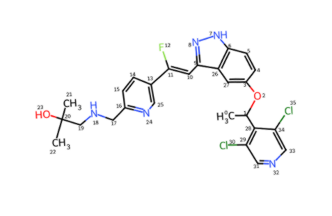 CC(Oc1ccc2[nH]nc(/C=C(\F)c3ccc(CNCC(C)(C)O)nc3)c2c1)c1c(Cl)cncc1Cl